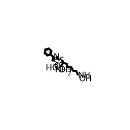 NO.O=C(O)C(CCCCCCNO)Sc1nc(-c2ccccc2)cs1